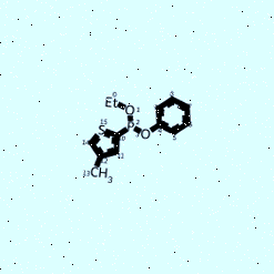 CCOP(Oc1ccccc1)c1cc(C)cs1